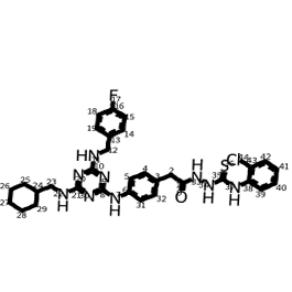 O=C(Cc1ccc(Nc2nc(NCc3ccc(F)cc3)nc(NCC3CCCCC3)n2)cc1)NNC(=S)Nc1ccccc1Cl